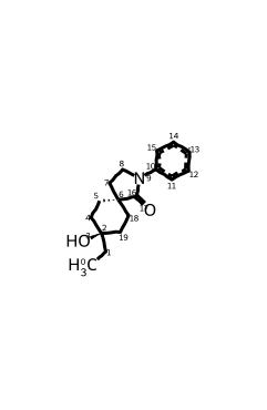 CC[C@]1(O)CC[C@@]2(CCN(c3cc[c]cc3)C2=O)CC1